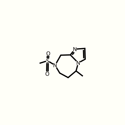 CC1CCN(S(C)(=O)=O)Cc2nccn21